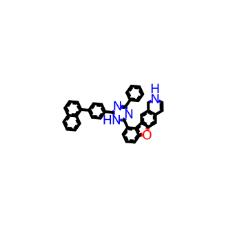 C1=Cc2cc3oc4cccc(C5=NC(c6ccccc6)=NC(c6ccc(-c7cccc8ccccc78)cc6)N5)c4c3cc2CN1